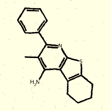 Cc1c(-c2ccccc2)nc2sc3c(c2c1N)CCCC3